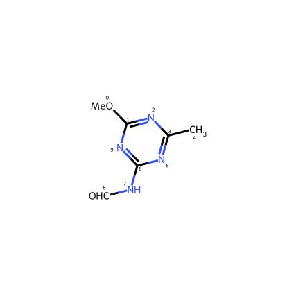 COc1nc(C)nc(NC=O)n1